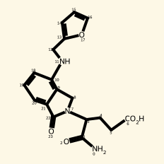 NC(=O)C(CCC(=O)O)N1Cc2c(NCc3ccco3)cccc2C1=O